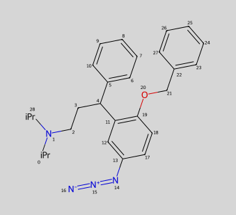 CC(C)N(CCC(c1ccccc1)c1cc(N=[N+]=[N-])ccc1OCc1ccccc1)C(C)C